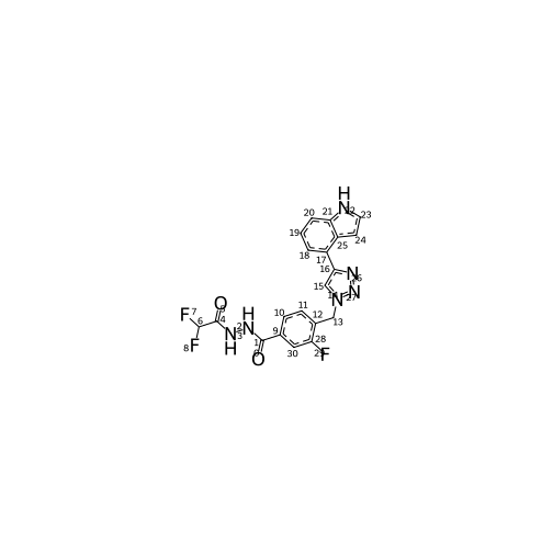 O=C(NNC(=O)C(F)F)c1ccc(Cn2cc(-c3cccc4[nH]ccc34)nn2)c(F)c1